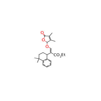 CCOC(=O)/C(=C/OC1OC(=O)C(C)=C1C)C1CCC(C)(C)c2ccccc21